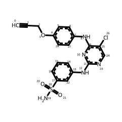 C#CCOc1ccc(Nc2nc(Nc3cccc(S(N)(=O)=O)c3)ncc2Cl)cc1